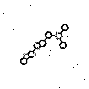 c1ccc(-c2nc(-c3ccccc3)nc(-c3cccc(-c4ccc5nc(-c6cc7oc8ccccc8c7cn6)cnc5c4)c3)n2)cc1